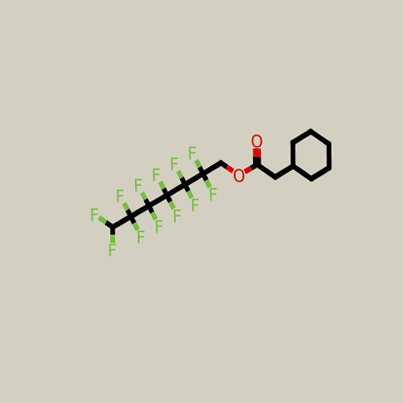 O=C(CC1CCCCC1)OCC(F)(F)C(F)(F)C(F)(F)C(F)(F)C(F)(F)C(F)F